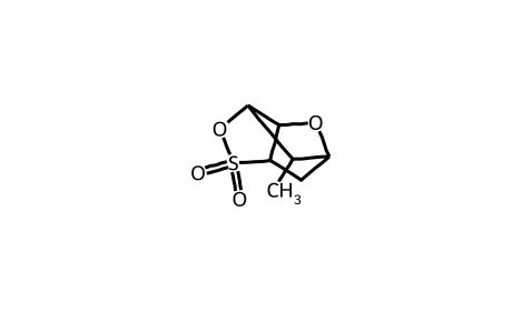 CC1C2CC3C(O2)C1OS3(=O)=O